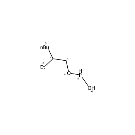 CCCCC(CC)COPO